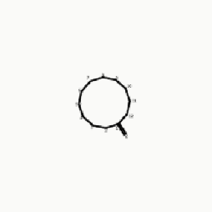 C=C1CCC[CH]CCCCCCC1